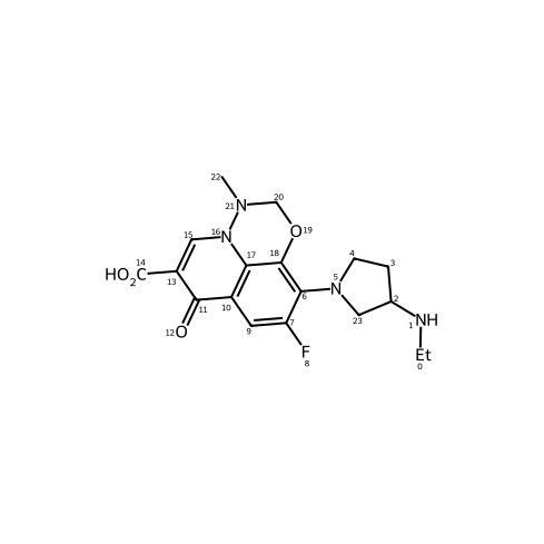 CCNC1CCN(c2c(F)cc3c(=O)c(C(=O)O)cn4c3c2OCN4C)C1